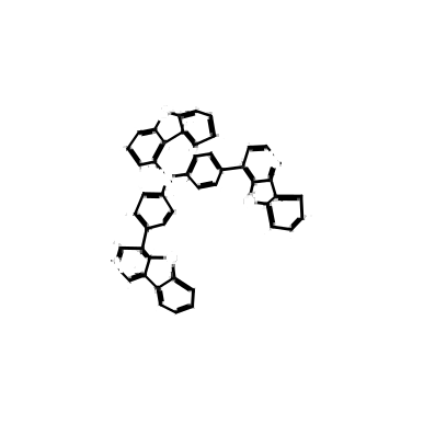 c1ccc2c(c1)oc1c(-c3ccc(N(c4ccc(-c5ccnc6c5oc5ccccc56)cc4)c4cccc5sc6ccccc6c45)cc3)cncc12